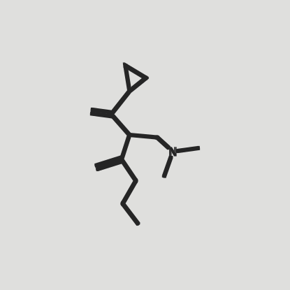 C=C(CCC)C(CN(C)C)C(=C)C1CC1